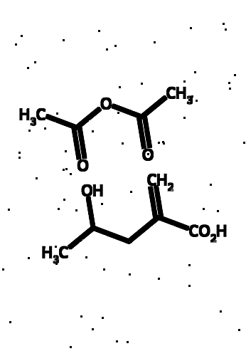 C=C(CC(C)O)C(=O)O.CC(=O)OC(C)=O